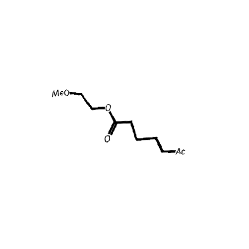 COCCOC(=O)CCCCC(C)=O